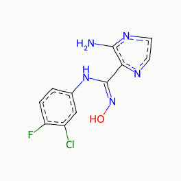 Nc1nccnc1C(=NO)Nc1ccc(F)c(Cl)c1